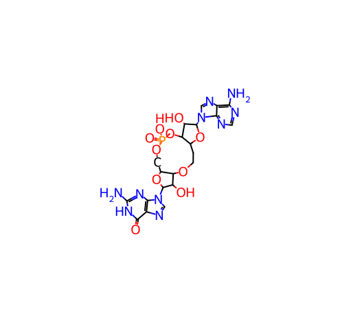 Nc1nc2c(ncn2C2OC3COP(=O)(O)OC4C(CCOC3C2O)OC(n2cnc3c(N)ncnc32)C4O)c(=O)[nH]1